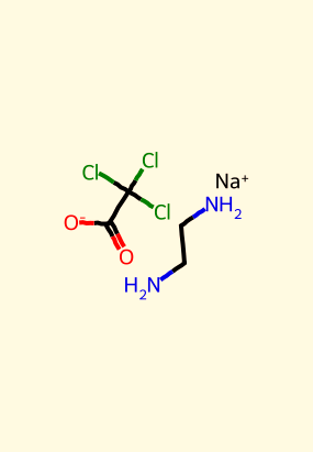 NCCN.O=C([O-])C(Cl)(Cl)Cl.[Na+]